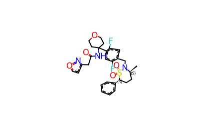 C[C@H]1CC[C@H](c2ccccc2)S(=O)(=O)N1Cc1cc(F)c(C2(NC(=O)Cc3ccon3)CCOCC2)cc1F